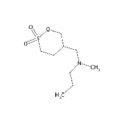 CCCN(C)CC1CCS(=O)(=O)OC1